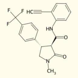 C#Cc1ccccc1NC(=O)[C@H]1C(=O)N(C)C[C@@H]1c1ccc(C(F)(F)F)cc1